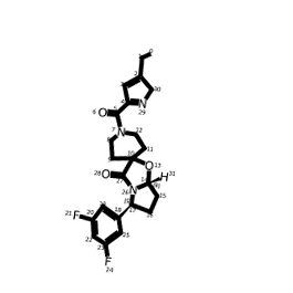 CCC1=CC(C(=O)N2CCC3(CC2)O[C@@H]2CC[C@@H](c4cc(F)cc(F)c4)N2C3=O)=NC1